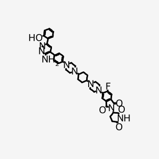 Nc1nnc(-c2ccccc2O)cc1-c1ccc(N2CCN(C3CCC(N4CCN(c5cc6c(cc5F)C(=O)N(C5CCC(=O)NC5=O)C6=O)CC4)CC3)CC2)cc1